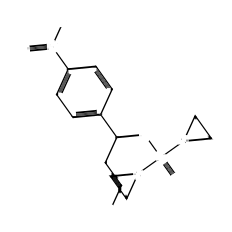 O=[N+]([O-])c1ccc(C(CCO)OP(=O)(N2CC2)N2CC2)cc1